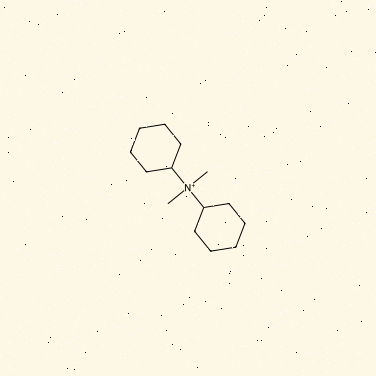 C[N+](C)(C1CCCCC1)C1CCCCC1